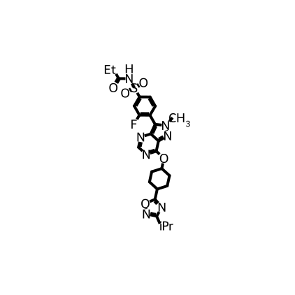 CCC(=O)NS(=O)(=O)c1ccc(-c2c3ncnc(OC4CCC(c5nc(C(C)C)no5)CC4)c3nn2C)c(F)c1